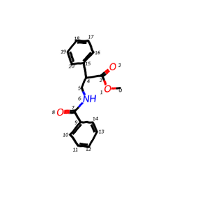 COC(=O)C(CNC(=O)c1ccccc1)c1ccccc1